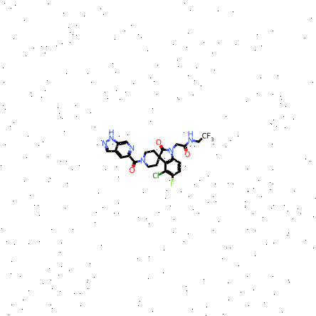 O=C(CN1C(=O)C2(CCN(C(=O)c3cc4cn[nH]c4cn3)CC2)c2c1ccc(F)c2Cl)NCC(F)(F)F